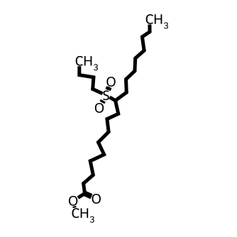 CCCCCCCCC(CCCCCCCCC(=O)OC)S(=O)(=O)CCCC